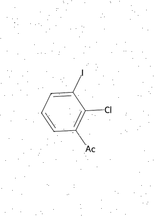 CC(=O)c1cccc(I)c1Cl